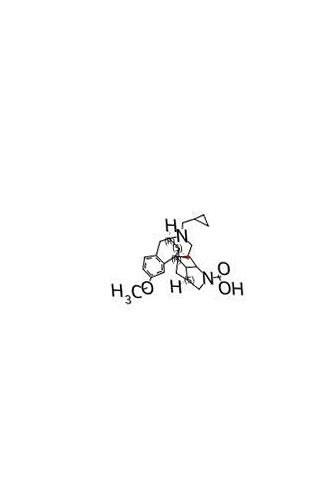 COc1ccc2c(c1)[C@]13CCN(CC4CC4)[C@H](C2)[C@]12CCC1C3[C@@H](CN1C(=O)O)C2